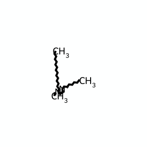 CCCCCCCCCCCCCCc1n(CC)cc[n+]1CCCCCCCC